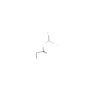 CCC(Br)OC(=O)CC(C)=O